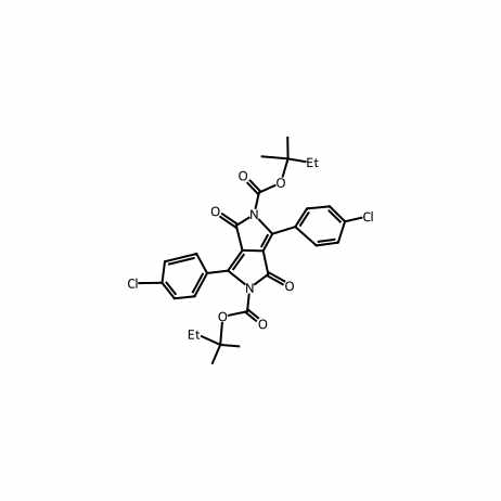 CCC(C)(C)OC(=O)N1C(=O)C2=C(c3ccc(Cl)cc3)N(C(=O)OC(C)(C)CC)C(=O)C2=C1c1ccc(Cl)cc1